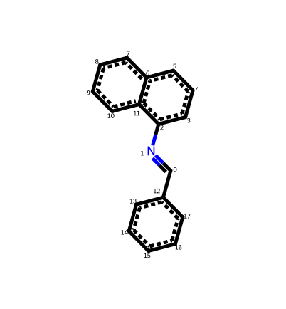 C(=Nc1cccc2ccccc12)c1ccccc1